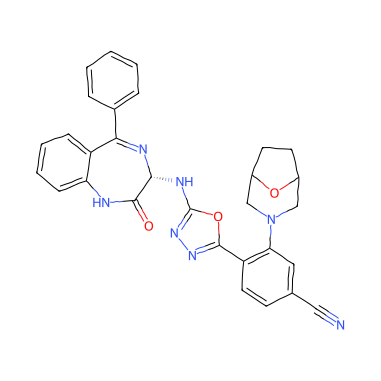 N#Cc1ccc(-c2nnc(N[C@H]3N=C(c4ccccc4)c4ccccc4NC3=O)o2)c(N2CC3CCC(C2)O3)c1